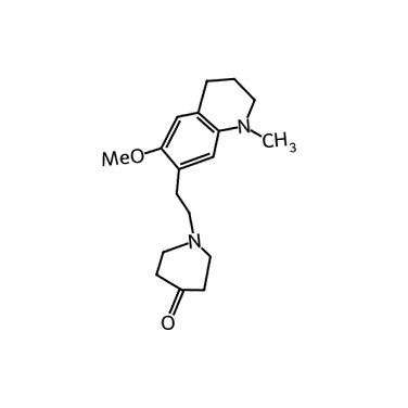 COc1cc2c(cc1CCN1CCC(=O)CC1)N(C)CCC2